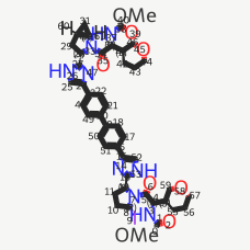 COC(=O)N[C@@H](C(=O)N1[C@H](I)CC[C@H]1c1nc(-c2ccc(-c3ccc(-c4c[nH]c([C@@H]5C[C@H]6C[C@H]6N5C(=O)[C@H](NC(=O)OC)[C@@H]5CCCOC5)n4)cc3)cc2)c[nH]1)[C@@H]1CCCOC1